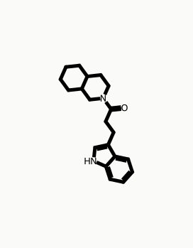 O=C(CCc1c[nH]c2ccccc12)N1CCC2CCCCC2C1